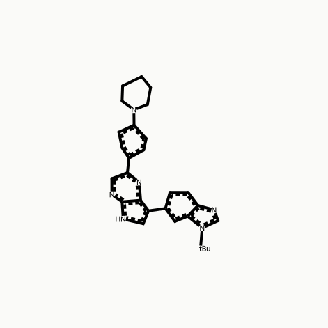 CC(C)(C)n1cnc2ccc(-c3c[nH]c4ncc(-c5ccc(N6CCCCC6)cc5)nc34)cc21